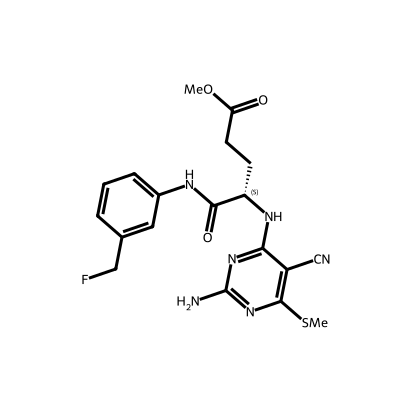 COC(=O)CC[C@H](Nc1nc(N)nc(SC)c1C#N)C(=O)Nc1cccc(CF)c1